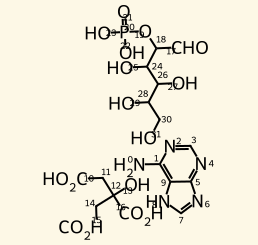 Nc1ncnc2nc[nH]c12.O=C(O)CC(O)(CC(=O)O)C(=O)O.O=CC(OP(=O)(O)O)C(O)C(O)C(O)CO